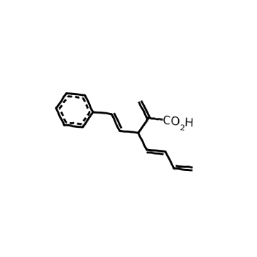 C=CC=CC(C=Cc1ccccc1)C(=C)C(=O)O